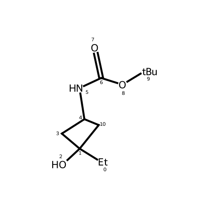 CCC1(O)CC(NC(=O)OC(C)(C)C)C1